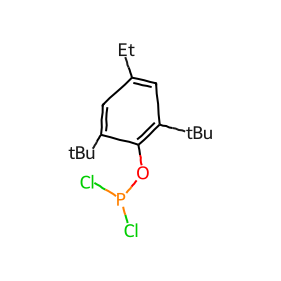 CCc1cc(C(C)(C)C)c(OP(Cl)Cl)c(C(C)(C)C)c1